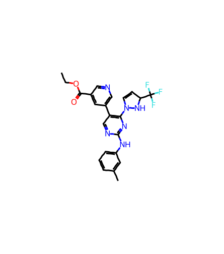 CCOC(=O)c1cncc(-c2cnc(Nc3cccc(C)c3)nc2N2C=CC(C(F)(F)F)N2)c1